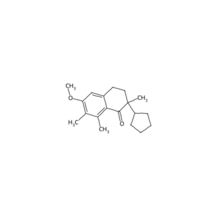 COc1cc2c(c(C)c1C)C(=O)C(C)(C1CCCC1)CC2